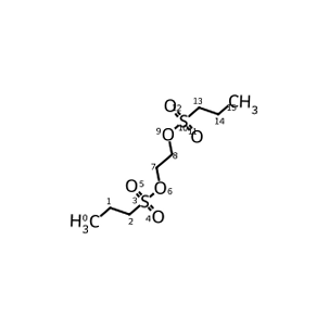 CCCS(=O)(=O)OCCOS(=O)(=O)CCC